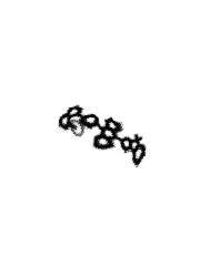 CC1(C)c2ccccc2-c2ccc(-c3c4ccccc4c(-c4ccc5c(c4)Oc4cccc6cccc-5c46)c4ccccc34)cc21